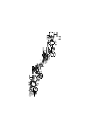 CC(F)(F)c1ccc(CNC(=O)c2cn(CCC(F)Cn3cc(C(=O)NCc4cccc(OC(F)(F)F)c4)nn3)nn2)nc1